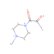 CN1CCN(C(=O)C(=O)I)CC1